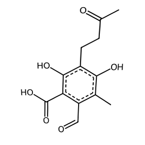 CC(=O)CCc1c(O)c(C)c(C=O)c(C(=O)O)c1O